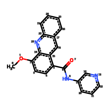 COc1ccc(C(=O)Nc2cccnc2)c2cc3ccccc3nc12